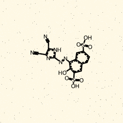 N#Cc1nc(/N=N/c2c(O)c(S(=O)(=O)O)cc3ccc(S(=O)(=O)O)cc23)[nH]c1C#N